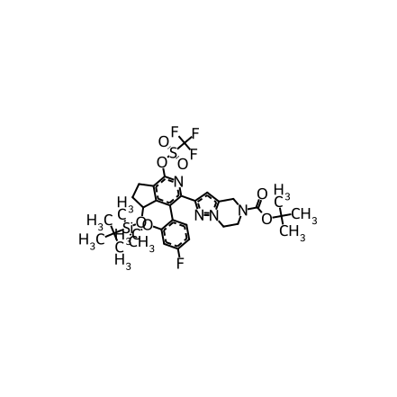 COc1cc(F)ccc1-c1c(-c2cc3n(n2)CCN(C(=O)OC(C)(C)C)C3)nc(OS(=O)(=O)C(F)(F)F)c2c1C(O[Si](C)(C)C(C)(C)C)CC2